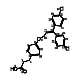 O=C(O)CCc1ccc(OCC=C(c2ccc(Cl)cc2)c2ccc(Cl)cc2)cc1